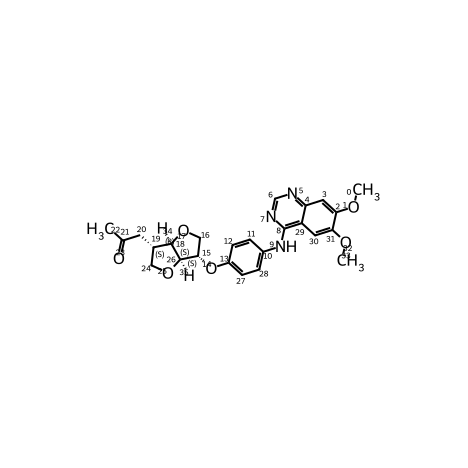 COc1cc2ncnc(Nc3ccc(O[C@H]4CO[C@@H]5[C@@H](CC(C)=O)CO[C@@H]54)cc3)c2cc1OC